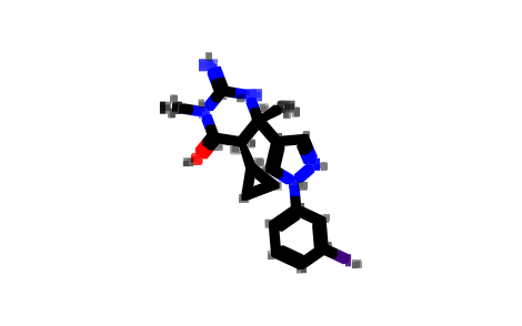 CN1C(=N)N[C@](C)(c2cnn(-c3cccc(I)c3)c2)[C@@H](C2CC2)C1=O